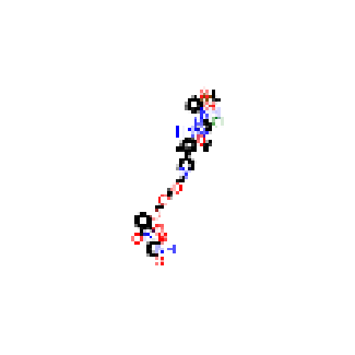 Cc1cc(Nc2ncc(Cl)c(Nc3ccccc3S(=O)(=O)C(C)C)n2)c(OC(C)C)cc1C1CCN(CCOCCOCCOc2cccc3c2C(=O)N(C2CCC(=O)NC2=O)C3=O)CC1